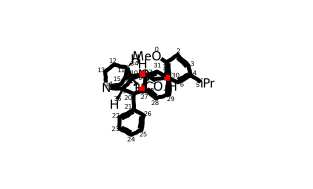 COc1ccc(C(C)C)cc1CN[C@H]1[C@@H]2CCN(C[C@@H]2OC(=O)O)[C@H]1C(c1ccccc1)c1ccccc1